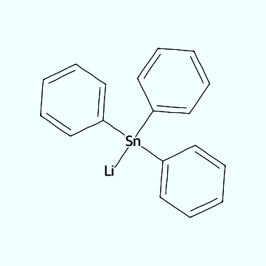 [Li][Sn]([c]1ccccc1)([c]1ccccc1)[c]1ccccc1